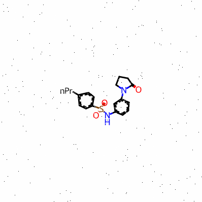 CCCc1ccc(S(=O)(=O)Nc2cccc(N3CCCC3=O)c2)cc1